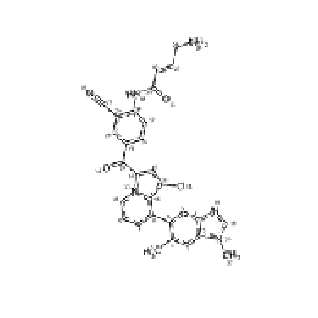 Cc1cc2c(cc1-c1cccn3c(C(=O)c4ccc(NC(=O)/C=C/CN)c(C#N)c4)cc(Cl)c13)ncn2C